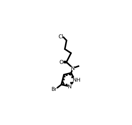 CN(C(=O)CCCCl)c1cc(Br)n[nH]1